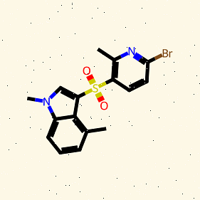 Cc1nc(Br)ccc1S(=O)(=O)c1cn(C)c2cccc(C)c12